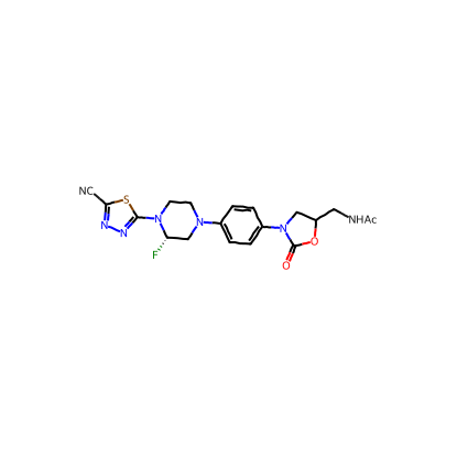 CC(=O)NCC1CN(c2ccc(N3CCN(c4nnc(C#N)s4)[C@@H](F)C3)cc2)C(=O)O1